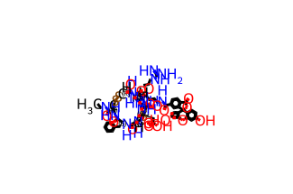 CCNC(=O)[C@@H]1CSSC[C@@H]2NC(=O)[C@H](CCCCNC(=O)c3ccc4c(c3)C3(OC4=O)c4ccc(O)cc4Oc4cc(O)ccc43)NC(=O)CSC[C@H](NC(=O)[C@H](CC(=O)O)NC(=O)CNC(=O)[C@H](CCCNC(=N)N)NC2=O)C(=O)N[C@@H](Cc2ccccc2)C(=O)N1